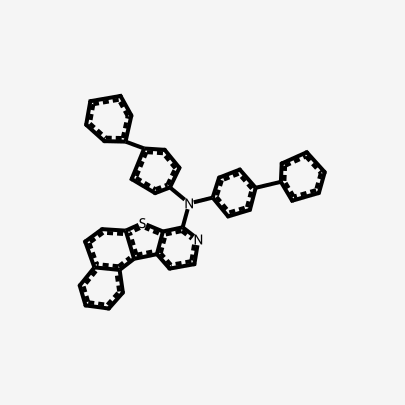 c1ccc(-c2ccc(N(c3ccc(-c4ccccc4)cc3)c3nccc4c3sc3ccc5ccccc5c34)cc2)cc1